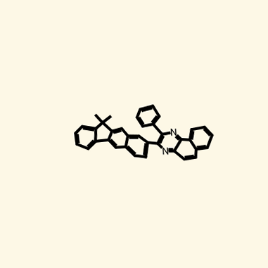 CC1(C)c2ccccc2-c2cc3ccc(-c4nc5ccc6ccccc6c5nc4-c4ccccc4)cc3cc21